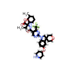 CC1CCCC(C(NC(=O)c2cnc(N3CC4(CCOCC4)c4cc(OC5CCNCC5)ccc43)nc2C(F)(F)F)(C(=O)O)C(C)C)C1